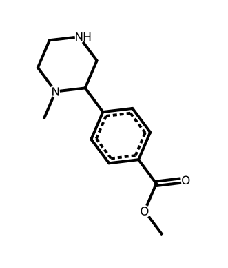 COC(=O)c1ccc(C2CNCCN2C)cc1